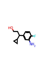 Nc1cc(C(CCO)C2CC2)ccc1F